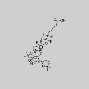 CC1(C)OCC([C@H]2O[C@@H]3OC(C)(C)O[C@H]3C2OS(=O)(=O)C(F)(F)C(F)(F)OC(F)(F)C(F)(F)CCCCC(=O)O)O1